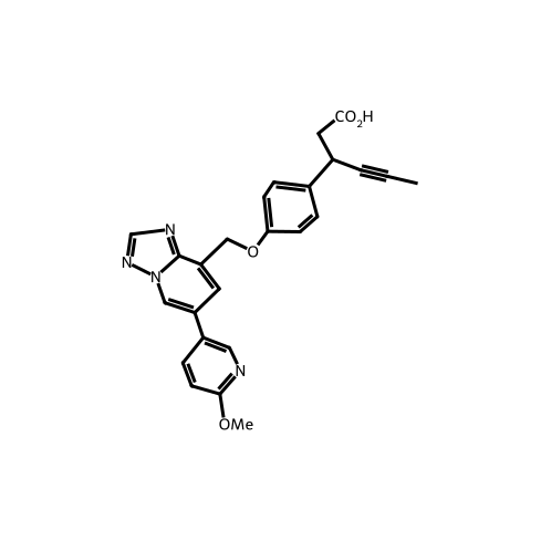 CC#CC(CC(=O)O)c1ccc(OCc2cc(-c3ccc(OC)nc3)cn3ncnc23)cc1